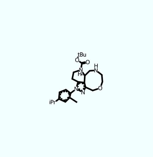 Cc1cc(C(C)C)ccc1-n1nc2c3c1CCN(C(=O)OC(C)(C)C)[C@H]3CNCCOC2